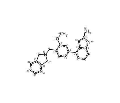 COc1cc(-c2cccc3nn(C)cc23)ccc1CN1Cc2cccnc2C1